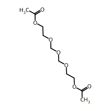 CC(=O)OCCOCOCOCCOC(C)=O